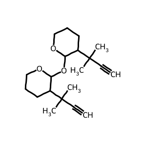 C#CC(C)(C)C1CCCOC1OC1OCCCC1C(C)(C)C#C